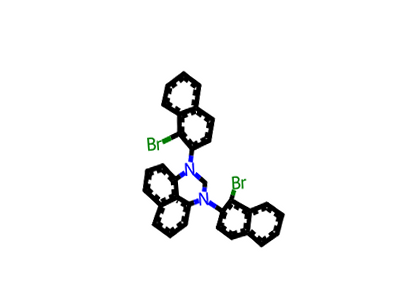 Brc1c(N2CN(c3ccc4ccccc4c3Br)c3cccc4cccc2c34)ccc2ccccc12